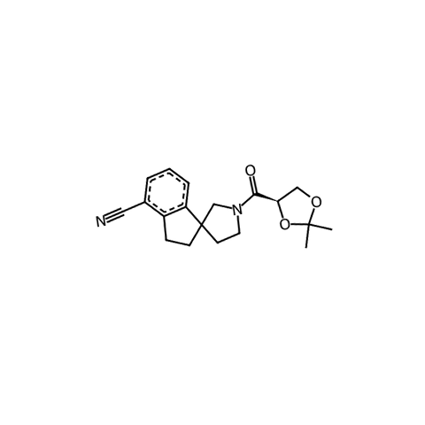 CC1(C)OC[C@H](C(=O)N2CCC3(CCc4c(C#N)cccc43)C2)O1